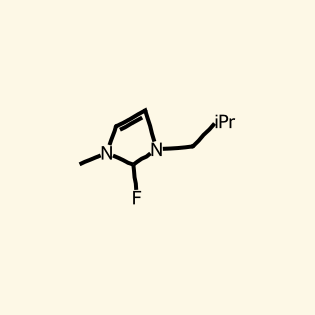 CC(C)CN1C=CN(C)C1F